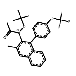 CC(=O)[C@@H](OC(C)(C)C)c1c(C)cc2ccccc2c1-c1ccc(OC(F)(F)F)cc1